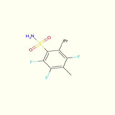 Cc1c(F)c(F)c(S(N)(=O)=O)c(C(C)C)c1F